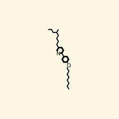 CCCCCCCCOc1ccc(-c2ccc(CCCCC(C)CCC)cn2)cc1